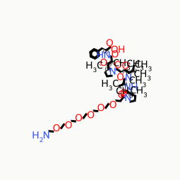 CC[C@H](C)[C@@H]([C@@H](CC(=O)N1CCC[C@H]1[C@H](OC)[C@@H](C)C(=O)N[C@@H](Cc1ccccc1)C(=O)O)OC)N(C)C(=O)[C@@H](NC(=O)[C@]1(C)CCCN1C(=O)CCOCCOCCOCCOCCOCCOCCN)C(C)C